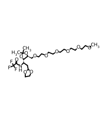 COCCOCCOCCOCCOCCOC[C@@H]1OC(C)(C)O[C@H]1C(CC1OCCO1)NC(=O)C(F)(F)F